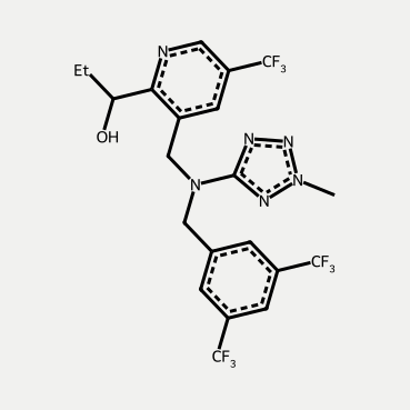 CCC(O)c1ncc(C(F)(F)F)cc1CN(Cc1cc(C(F)(F)F)cc(C(F)(F)F)c1)c1nnn(C)n1